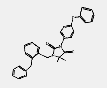 CC1(C)C(=O)N(c2ccc(Oc3ccccc3)cc2)C(=O)N1Cc1ccccc1Cc1ccccc1